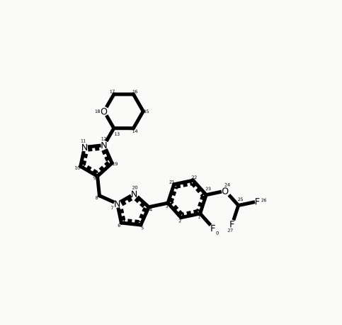 Fc1cc(-c2ccn(Cc3cnn(C4CCCCO4)c3)n2)ccc1OC(F)F